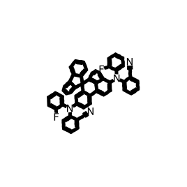 N#Cc1ccccc1N(c1ccc2c(c1)C1(c3ccccc3-c3ccccc31)c1cccc3c(N(c4ccccc4F)c4ccccc4C#N)ccc-2c13)c1ccccc1F